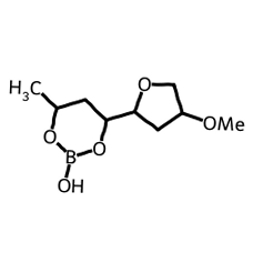 COC1COC(C2CC(C)OB(O)O2)C1